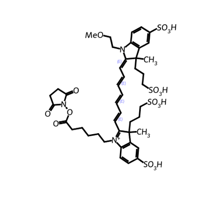 COCCN1/C(=C/C=C/C=C/C=C/C2=[N+](CCCCCC(=O)ON3C(=O)CCC3=O)c3ccc(S(=O)(=O)O)cc3C2(C)CCCS(=O)(=O)O)C(C)(CCCS(=O)(=O)O)c2cc(S(=O)(=O)O)ccc21